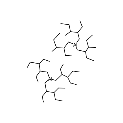 CCC(C)C(CC)[CH2][Al]([CH2]C(CC)C(C)CC)[CH2]C(CC)C(C)CC.CCC(CC)C(CC)[CH2][Al]([CH2]C(CC)C(CC)CC)[CH2]C(CC)C(CC)CC